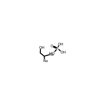 O=P(O)(O)O.OC[CH]([Na])[Na]